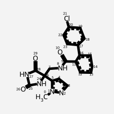 Cn1nccc1C1(CNC(=O)c2ccccc2-c2ccc(Cl)cc2)NC(=O)NC1=O